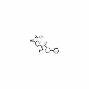 O=C(O)c1cc(N2C(=O)C3CCC(c4ccccc4)CC3C2=O)ccc1O